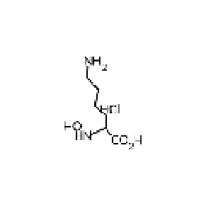 Cl.NCCCCC(NO)C(=O)O